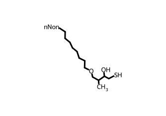 CCCCCCCCCCCCCCCCCOCC(C)C(O)CS